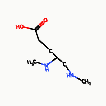 CNCC(CCC(=O)O)NC